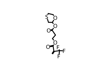 C=C(C(=O)OCCC(=O)OC1CSCCO1)C(F)(F)F